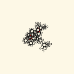 CC(C)(C)c1cc(-c2ccc3c(c2)Oc2cc(C4(c5ccccc5)c5ccccc5-c5ccccc54)cc4c2B3c2ccc(-c3cc(C(C)(C)C)cc(C(C)(C)C)c3)cc2N4c2c(-c3ccccc3)cccc2-c2ccccc2)cc(C(C)(C)C)c1